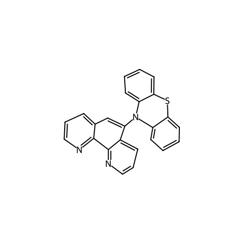 c1ccc2c(c1)Sc1ccccc1N2c1cc2cccnc2c2ncccc12